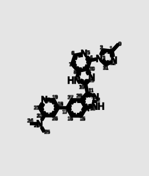 Cc1cn(-c2nccc3[nH]c(-c4n[nH]c5ccc(-c6cncc(N(C)C)c6)cc45)nc23)cn1